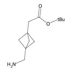 CC(C)(C)OC(=O)CC12CC(CN)(C1)C2